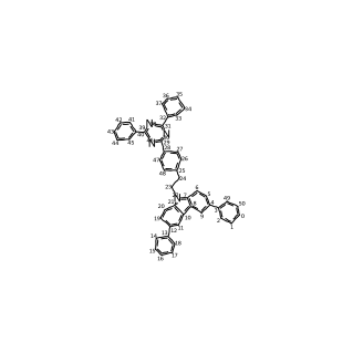 c1ccc(-c2ccc3c(c2)c2cc(-c4ccccc4)ccc2n3CCc2ccc(-c3nc(-c4ccccc4)nc(-c4ccccc4)n3)cc2)cc1